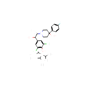 CC(C)[Si](Oc1c(Cl)cc(C(O)[C@@H](C)N2CCC(O)(c3ccc(F)cc3)CC2)cc1Cl)(C(C)C)C(C)C